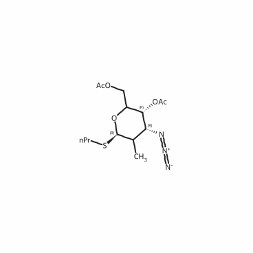 CCCS[C@H]1OC(COC(C)=O)[C@H](OC(C)=O)[C@H](N=[N+]=[N-])C1C